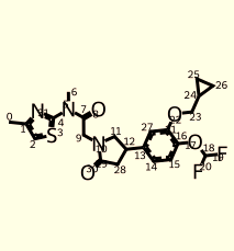 Cc1csc(N(C)C(=O)CN2CC(c3ccc(OC(F)F)c(OCC4CC4)c3)CC2=O)n1